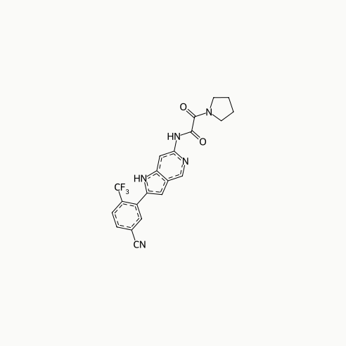 N#Cc1ccc(C(F)(F)F)c(-c2cc3cnc(NC(=O)C(=O)N4CCCC4)cc3[nH]2)c1